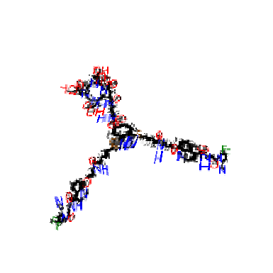 N#C[C@@H]1CC(F)(F)CN1C(=O)CNC(=O)c1ccnc2c(OCCCNC(=O)CCCCCSc3nnc(SCCCCCC(=O)NCCCOc4cccc5c(C(=O)NCC(=O)N6CC(F)(F)C[C@H]6C#N)ccnc45)c4c3CCCC(OC(=O)NCCCNC(=O)CCC(C(=O)O)N3CCN(CC(=O)O)CCN(CC(=O)O)CCN(CC(=O)O)CC3)CC4)cccc12